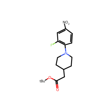 CC(C)(C)OC(=O)CC1CCN(c2ccc([N+](=O)[O-])cc2F)CC1